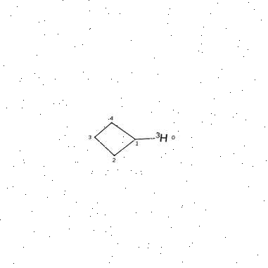 [3H]C1CCC1